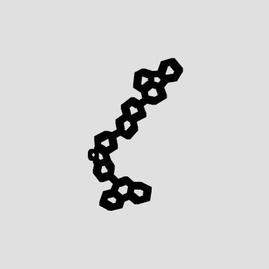 c1ccc2c(c1)-c1cccc3c(-c4ccc5cc(-c6ccc7oc8ccc(-c9cc%10ccccc%10c%10ccccc9%10)cc8c7c6)ccc5c4)ccc-2c13